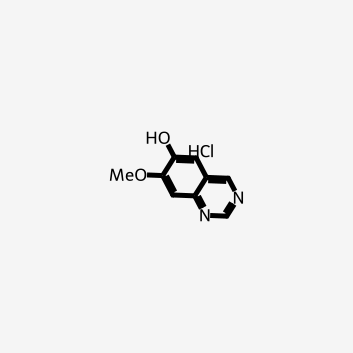 COc1cc2ncncc2cc1O.Cl